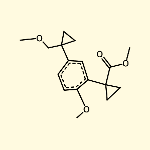 COCC1(c2ccc(OC)c(C3(C(=O)OC)CC3)c2)CC1